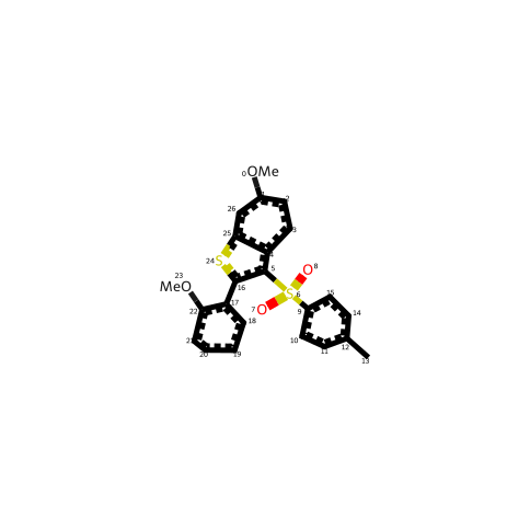 COc1ccc2c(S(=O)(=O)c3ccc(C)cc3)c(-c3ccccc3OC)sc2c1